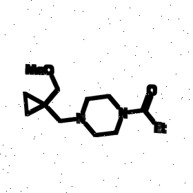 CCC(=O)N1CCN(CC2(COC)CC2)CC1